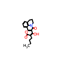 CCCCc1c(O)c2c(=O)n3c4c(cccc4c2oc1=O)CCC3